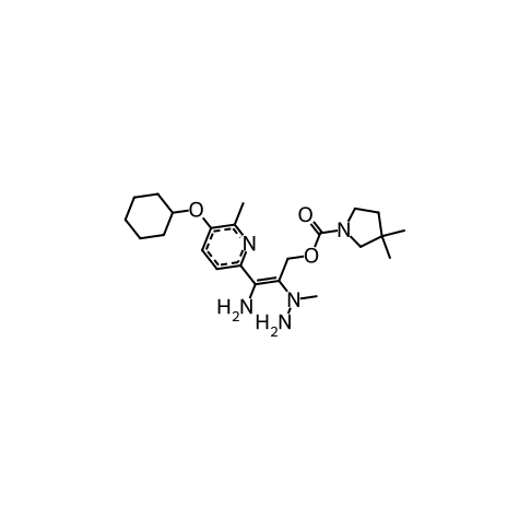 Cc1nc(/C(N)=C(\COC(=O)N2CCC(C)(C)C2)N(C)N)ccc1OC1CCCCC1